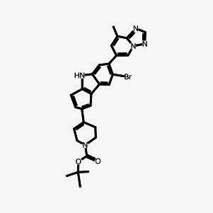 Cc1cc(-c2cc3[nH]c4ccc(C5=CCN(C(=O)OC(C)(C)C)CC5)cc4c3cc2Br)cn2ncnc12